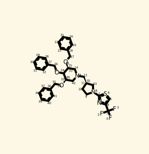 FC(F)(F)c1csc(N2CC[C@@H](CN3C[C@H](OCc4ccccc4)C(OCc4ccccc4)[C@H](OCc4ccccc4)C3)C2)n1